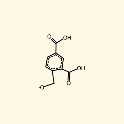 [O]Cc1ccc(C(=O)O)cc1C(=O)O